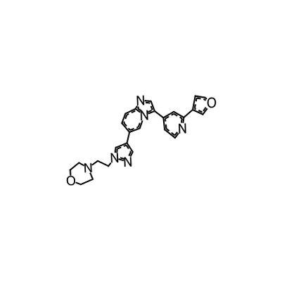 c1cc(-c2cnc3ccc(-c4cnn(CCN5CCOCC5)c4)cn23)cc(-c2ccoc2)n1